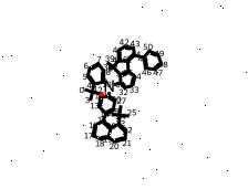 CC(C)(C)c1ccccc1N(c1ccc(-c2cccc3cccc(C(C)(C)C)c23)cc1)c1cccc2c1C(C)(C)c1cccc(-c3ccccc3)c1-2